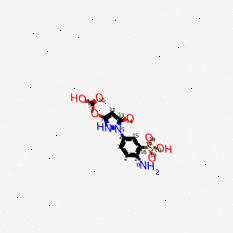 Nc1ccc(-n2[nH]c(OC(=O)O)cc2=O)cc1S(=O)(=O)O